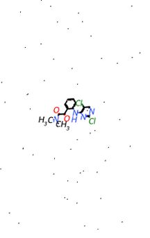 CN(C)C(=O)C(=O)c1ccccc1Nc1nc(Cl)ncc1Cl